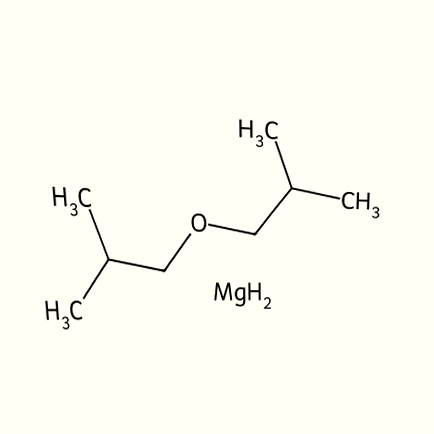 CC(C)COCC(C)C.[MgH2]